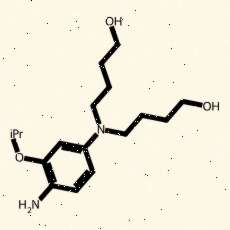 CC(C)Oc1cc(N(CCCCO)CCCCO)ccc1N